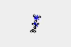 c1ccc(-c2nc(-c3ccccc3)nc(-c3ccc(-n4c5ccccc5c5c(-c6ccc(-c7cc8ccccc8c8ccccc78)cc6)nc6ccccc6c54)cc3)n2)cc1